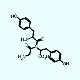 NCC(=O)N(C(=O)[C@@H](N)Cc1ccc(O)cc1)[C@@H](Cc1ccc(O)cc1)C(=O)O